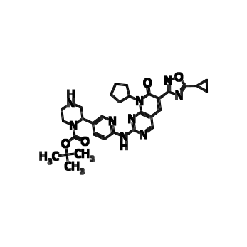 CC(C)(C)OC(=O)N1CCNCC1c1ccc(Nc2ncc3cc(-c4noc(C5CC5)n4)c(=O)n(C4CCCC4)c3n2)nc1